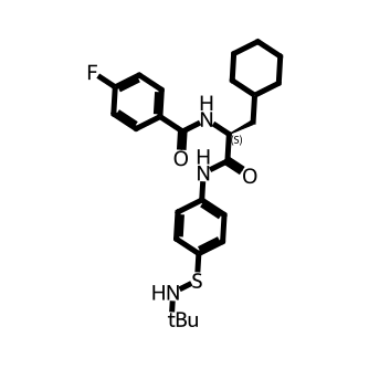 CC(C)(C)NSc1ccc(NC(=O)[C@H](CC2CCCCC2)NC(=O)c2ccc(F)cc2)cc1